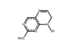 CSc1ncc2c(n1)N(C(C)C)CC=N2